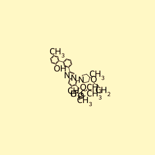 C=CCOC1(C)CCN(c2c([C@H](OC(C)(C)C)C(=O)OC)c(C)cc3nc(-c4cccc(-c5cc(C)ccc5O)c4)cn23)CC1